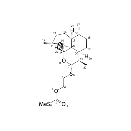 CSC(=O)OCCS[C@@H]1O[C@@H]2O[C@@]3(C)CC[C@H]4[C@H](C)CC[C@@H]([C@H]1C)[C@@]24OO3